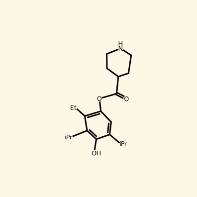 CCc1c(OC(=O)C2CCNCC2)cc(C(C)C)c(O)c1C(C)C